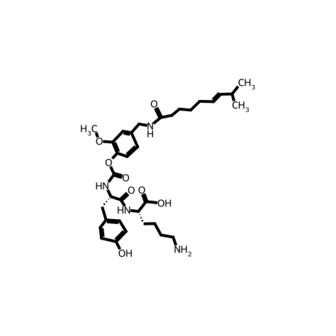 COc1cc(CNC(=O)CCCC/C=C/C(C)C)ccc1OC(=O)N[C@@H](Cc1ccc(O)cc1)C(=O)N[C@@H](CCCCN)C(=O)O